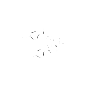 CC1O[C@H](COC(=O)c2ccc(Cl)cc2)[C@@H](OC(=O)c2ccc(Cl)cc2)[C@@H]1F